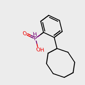 O=[PH](O)c1ccccc1C1CCCCCCC1